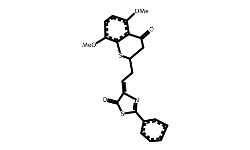 COc1ccc(OC)c2c1SC(CC=C1N=C(c3ccccc3)SC1=O)CC2=O